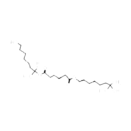 CC(C)(O)CCCCCCOC(=O)CCCCC(=O)OC(C)(C)CCCCCCO